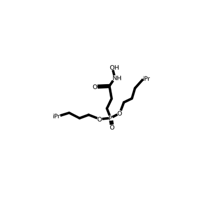 CC(C)CCCOP(=O)(CCC(=O)NO)OCCCC(C)C